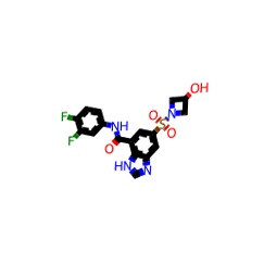 O=C(Nc1ccc(F)c(F)c1)c1cc(S(=O)(=O)N2CC(O)C2)cc2nc[nH]c12